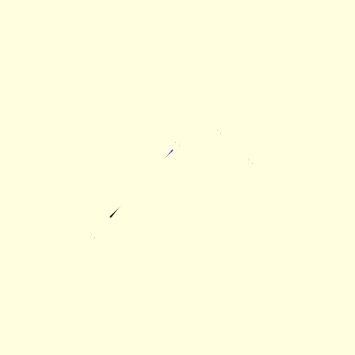 N#C[C@H]1CC[C@@H](Nc2ccnc(Cl)n2)CC1